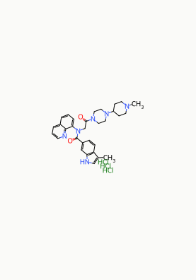 Cc1c[nH]c2cc(C(=O)N(CC(=O)N3CCN(C4CCN(C)CC4)CC3)c3cccc4cccnc34)ccc12.Cl.Cl.Cl